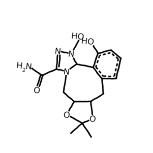 CC1(C)OC2Cc3cccc(O)c3C3N(O)N=C(C(N)=O)N3CC2O1